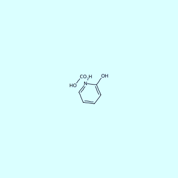 O=C(O)O.Oc1ccccn1